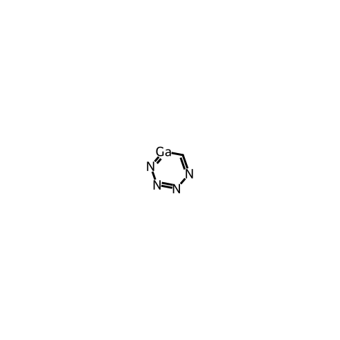 [CH]1=NN=N[N]=[Ga]1